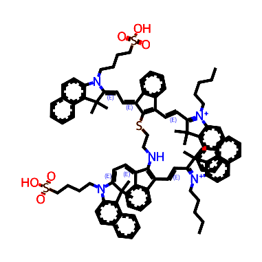 CCCCC[N+]1=C(/C=C/C2=C(NCCSC3=C(/C=C/C4=[N+](CCCCC)c5ccc6ccccc6c5C4(C)C)c4ccccc4/C3=C\C=C3\N(CCCCS(=O)(=O)O)c4ccc5ccccc5c4C3(C)C)C(=C/C=C3/N(CCCCS(=O)(=O)O)c4ccc5ccccc5c4C3(C)C)/c3ccccc32)C(C)(C)c2c1ccc1ccccc21